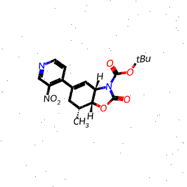 C[C@@H]1CC(c2ccncc2[N+](=O)[O-])=C[C@H]2[C@@H]1OC(=O)N2C(=O)OC(C)(C)C